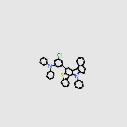 Clc1cc(-c2cc3c4c5ccccc5ccc4n(-c4ccccc4)c3c3c2sc2ccccc23)cc(N(c2ccccc2)c2ccccc2)c1